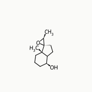 C[C@@H]1O[C@@]12CCC1[C@@H](O)CCC[C@@]12C